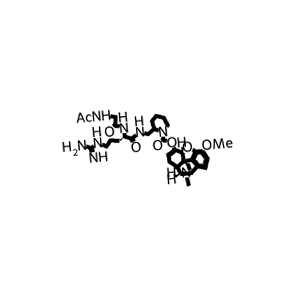 COc1ccc2c3c1O[C@H]1C(OC(=O)N4CCCCC4CNC(=O)[C@H](CCCNC(=N)N)NC(=O)CNC(C)=O)=CC[C@H]4[C@@H](C2)N(C)CC[C@]314